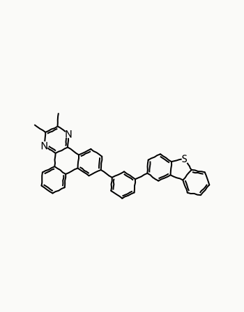 Cc1nc2c3ccccc3c3cc(-c4cccc(-c5ccc6sc7ccccc7c6c5)c4)ccc3c2nc1C